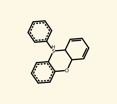 C1=CC2Oc3ccccc3[SH](c3ccccc3)C2C=C1